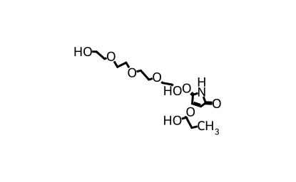 CCC(=O)O.O=C1C=CC(=O)N1.OCCOCCOCCOCCO